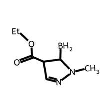 BC1C(C(=O)OCC)C=NN1C